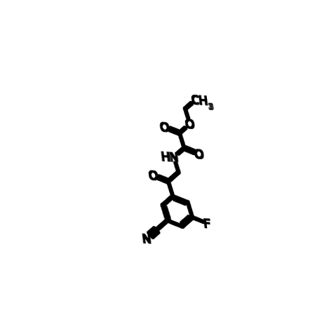 CCOC(=O)C(=O)NCC(=O)c1cc(F)cc(C#N)c1